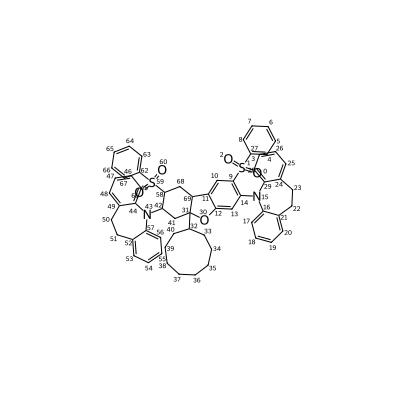 O=S(=O)(c1ccccc1)c1cc2c(cc1N1c3ccccc3CCc3ccccc31)OC1(C3CCCCCCCC3)CC(N3c4ccccc4CCc4ccccc43)C(S(=O)(=O)c3ccccc3)CC21